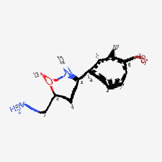 NCC1CC(c2ccc(Br)cc2)=NO1